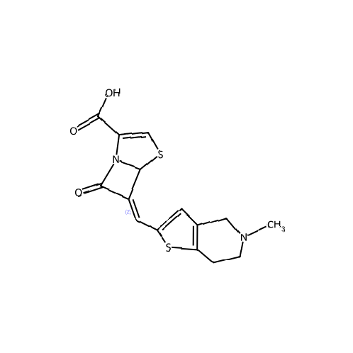 CN1CCc2sc(/C=C3/C(=O)N4C(C(=O)O)=CSC34)cc2C1